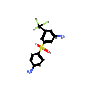 Nc1ccc(S(=O)(=O)c2cc(N)cc(C(F)(F)F)c2)cc1